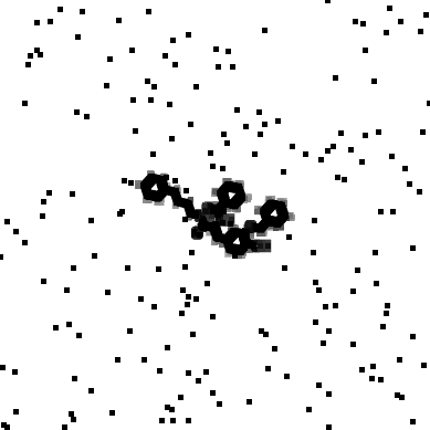 O=C(NCCCCc1ccccc1)C(=Cc1ccc(O)c(OCc2ccccc2)c1)NC(=O)c1ccccc1